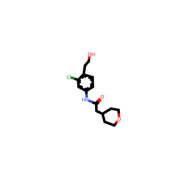 O=C(CC1CCOCC1)Nc1ccc(CCO)c(Cl)c1